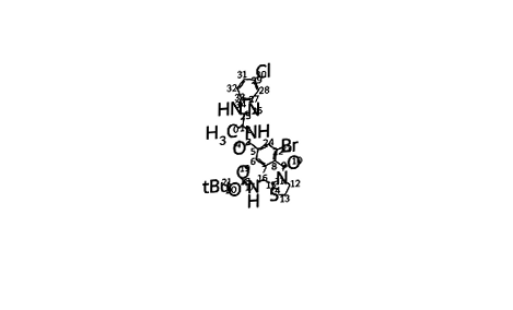 C[C@H](NC(=O)c1ccc(C(=O)N2CCS[C@H]2CNC(=O)OC(C)(C)C)c(Br)c1)c1nc2cc(Cl)ccc2[nH]1